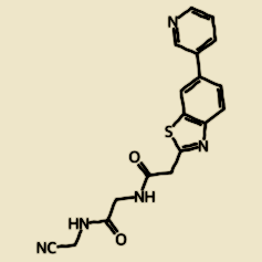 N#CCNC(=O)CNC(=O)Cc1nc2ccc(-c3cccnc3)cc2s1